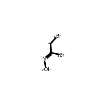 ON=C(Br)CBr